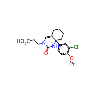 CC(C)Oc1ccc(C23CCCCC2=CN(CCC(=O)O)C(=O)N3)cc1Cl